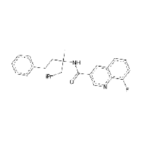 CC(C)CC(C)(CCc1ccccc1)NC(=O)c1cnc2c(F)cccc2c1